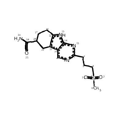 CS(=O)(=O)CCCc1ncc2c3c([nH]c2n1)CCC(C(N)=O)C3